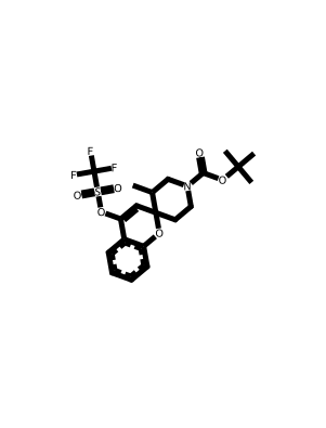 CC1CN(C(=O)OC(C)(C)C)CCC12C=C(OS(=O)(=O)C(F)(F)F)c1ccccc1O2